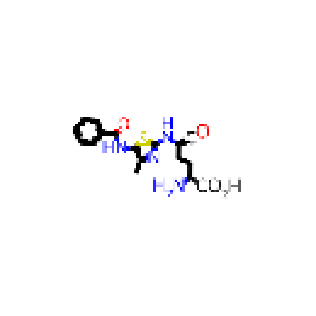 Cc1nc(NC(=C=O)CCC(N)C(=O)O)sc1NC(=O)c1ccccc1